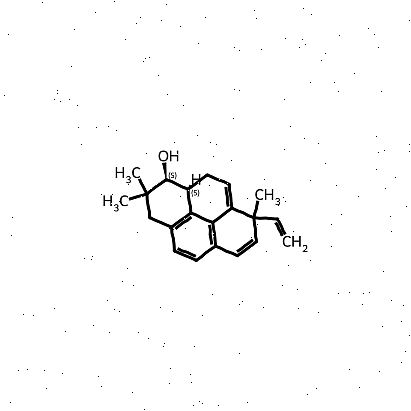 C=CC1(C)C=Cc2ccc3c4c2C1=CC[C@@H]4[C@H](O)C(C)(C)C3